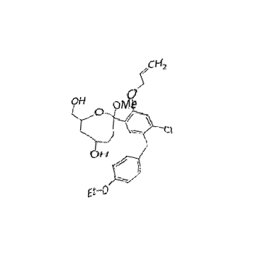 C=CCOc1cc(Cl)c(Cc2ccc(OCC)cc2)cc1C1(OC)CC(O)CC(CO)O1